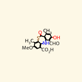 COc1cc(C(=O)O)c2c(c1C)SC(=O)c1c(C)cc(O)c(C=O)c1N2